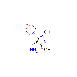 COc1nn(C)c(N2CCOCC2)c1CN